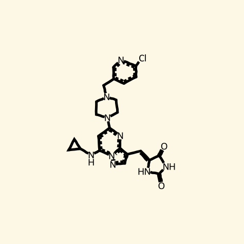 O=C1NC(=O)/C(=C/c2cnn3c(NC4CC4)cc(N4CCN(Cc5ccc(Cl)nc5)CC4)nc23)N1